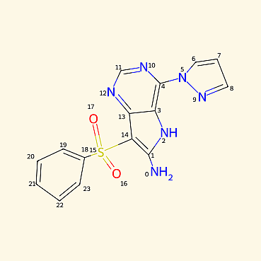 Nc1[nH]c2c(-n3cccn3)ncnc2c1S(=O)(=O)c1ccccc1